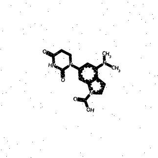 CN(C)c1cc(N2CCC(=O)NC2=O)cc2c1ccn2C(=O)O